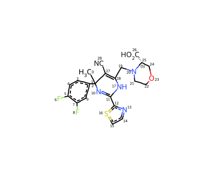 CC1(c2ccc(F)c(F)c2)N=C(c2nccs2)NC(CN2CCOC[C@H]2C(=O)O)=C1C#N